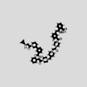 O=C(N[C@@H](C(=O)N1CCN(CC2CCN(CC(=O)N3CCN(C(=O)c4cc(Cc5n[nH]c(=O)c6ccccc56)ccc4F)CC3)CC2)CC1)C1CCCCC1)c1cccc(C2CCCN(C(=O)CNC3CC3)C2)c1